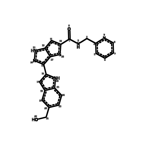 O=C(NCc1ccccn1)c1cc2[nH]nc(-c3cc4cc(CO)ccc4[nH]3)c2s1